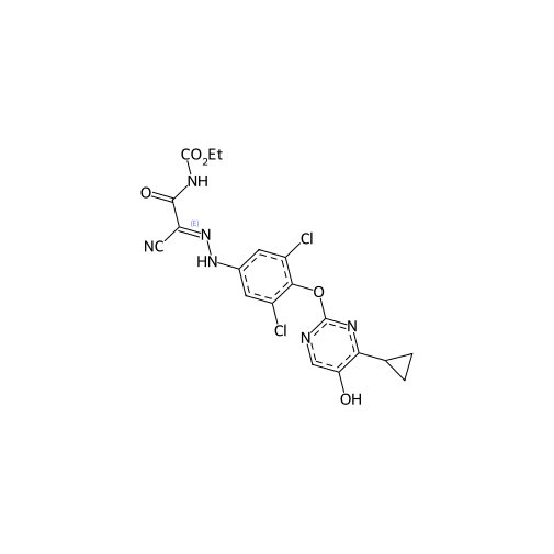 CCOC(=O)NC(=O)/C(C#N)=N/Nc1cc(Cl)c(Oc2ncc(O)c(C3CC3)n2)c(Cl)c1